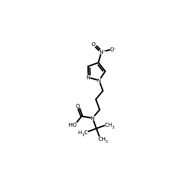 CC(C)(C)N(CCCn1cc([N+](=O)[O-])cn1)C(=O)O